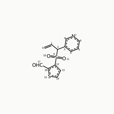 C=CC(c1cccnc1)S(=O)(=O)c1ccsc1C=O